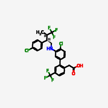 C[C@H]([C@H](CNc1cc(-c2cc(C(F)(F)F)ccc2CC(=O)O)ccc1Cl)c1ccc(Cl)cc1)C(F)(F)F